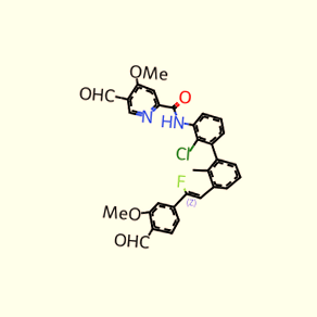 COc1cc(/C(F)=C/c2cccc(-c3cccc(NC(=O)c4cc(OC)c(C=O)cn4)c3Cl)c2C)ccc1C=O